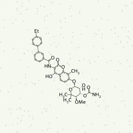 CCc1ccc(-c2cccc(C(=O)Nc3c(O)c4ccc(O[C@@H]5OC(C)(C)[C@H](OC)[C@@H](OC(N)=O)[C@H]5O)c(C)c4oc3=O)c2)cc1